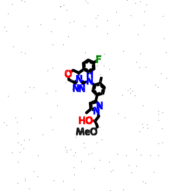 COCC(O)Cn1nc(-c2ccc(C)c(Nc3nnc4n3C(c3ccc(F)cc3)COC4)c2)cc1C